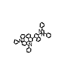 c1ccc(-c2cc(-c3ccccc3)nc(-c3ccc(-c4cc5nc(-c6ccccc6)c6ccc7c(c8ccccc8n7-c7ccccc7)c6c5c5ccccc45)c4ccccc34)n2)cc1